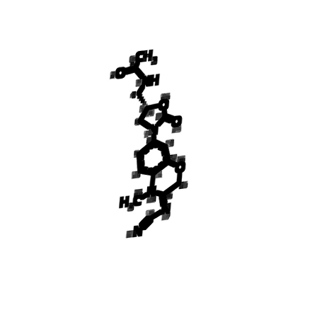 CC(=O)NC[C@H]1CN(c2ccc3c(c2)OCC(=NC#N)N3C)C(=O)O1